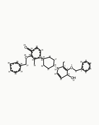 CC1=C(OCc2ccccc2)C(O)C=CN1[C@H]1CC[C@H](n2ccc(=O)c(OCc3ccccc3)c2C)CC1